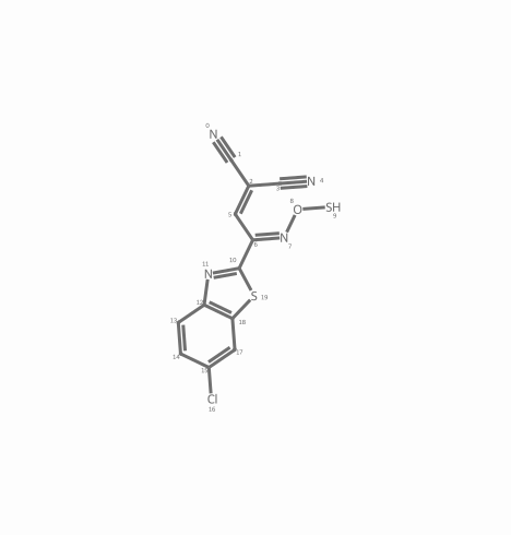 N#CC(C#N)=C/C(=N\OS)c1nc2ccc(Cl)cc2s1